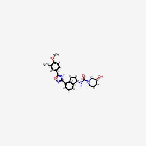 CC(C)Oc1ccc(-c2nc(-c3cccc4c3CC[C@H]4NC(=O)N3CCC[C@H](O)C3)no2)cc1C#N